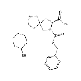 NC1CCCCC1.O=C(O)[C@@H]1CC2(CCSS2)CN1C(=O)OCc1ccccc1